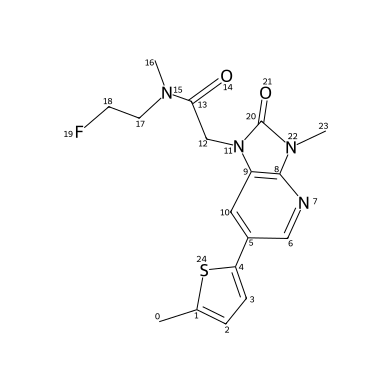 Cc1ccc(-c2cnc3c(c2)n(CC(=O)N(C)CCF)c(=O)n3C)s1